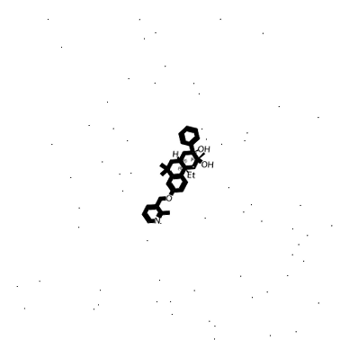 CC[C@@]12C[C@@](C)(O)[C@](O)(c3ccccc3)C[C@H]1CC(C)(C)c1cc(OCc3cccnc3C)ccc12